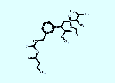 CCCC(F)OC(=O)NCc1cccc(C(CP(=O)(OCC)C(N)C(C)C)C(=O)OC)c1